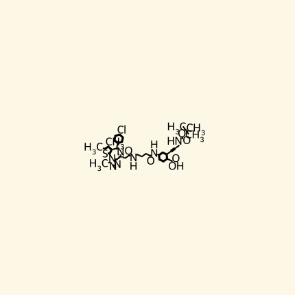 Cc1sc2c(c1C)C(c1ccc(Cl)cc1)=N[C@@H](CC(=O)NCCCC(=O)Nc1ccc(C(=O)O)c(C#CCNC(=O)OC(C)(C)C)c1)c1nnc(C)n1-2